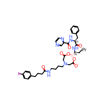 CC(C)C[C@H](NC(=O)[C@H](Cc1ccccc1)NC(=O)c1cnccn1)B1OC(=O)CN(CCCCNC(=O)CCCc2ccc(I)cc2)CC(=O)O1